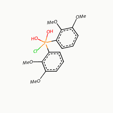 COc1cccc(P(O)(O)(Cl)c2cccc(OC)c2OC)c1OC